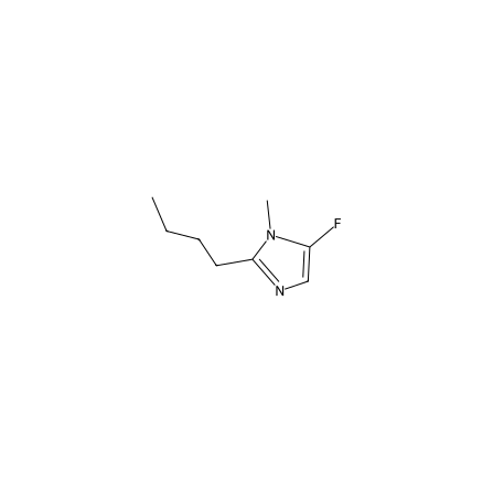 CCCCc1ncc(F)n1C